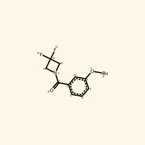 CCC(C)Oc1cccc(C(=O)N2CC(F)(F)C2)c1